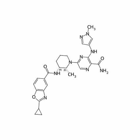 C[C@@H]1[C@H](NC(=O)c2ccc3oc(C4CC4)nc3c2)CCCN1c1cnc(C(N)=O)c(Nc2cnn(C)c2)n1